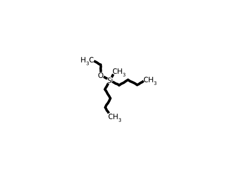 CCCC[Si](C)(CCCC)OCC